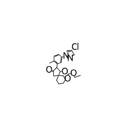 CCOC(=O)OC1C(c2cc(-n3cc(Cl)cn3)ccc2C)C(=O)CC12CCCCC2